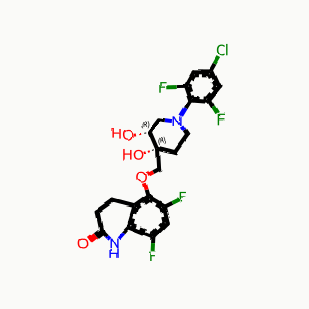 O=C1CCc2c(c(F)cc(F)c2OC[C@]2(O)CCN(c3c(F)cc(Cl)cc3F)C[C@H]2O)N1